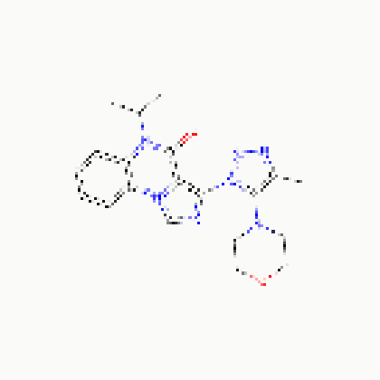 Cc1nnn(-c2ncn3c2c(=O)n(C(C)C)c2ccccc23)c1N1CCOCC1